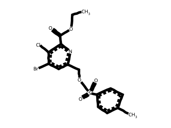 CCOC(=O)c1nc(COS(=O)(=O)c2ccc(C)cc2)cc(Br)c1Cl